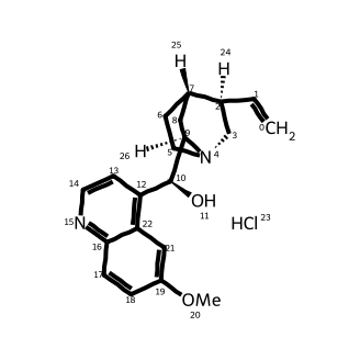 C=C[C@H]1C[N@]2CC[C@H]1C[C@@H]2[C@@H](O)c1ccnc2ccc(OC)cc12.Cl